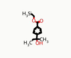 CCC(C)(O)c1ccc(C(=O)OC[SiH3])cc1